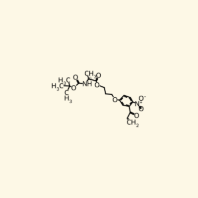 C=CC(=O)c1cc(OCCCOC(=O)[C@H](C)NC(=O)OC(C)(C)C)ccc1[N+](=O)[O-]